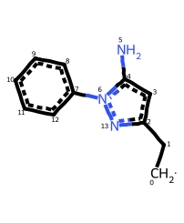 [CH2]Cc1cc(N)n(-c2ccccc2)n1